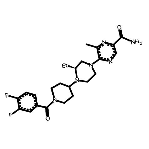 CC[C@H]1CN(c2ncc(C(N)=O)nc2C)CCN1C1CCN(C(=O)c2ccc(F)c(F)c2)CC1